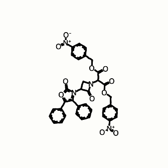 O=C(OCc1ccc([N+](=O)[O-])cc1)C(C(=O)OCc1ccc([N+](=O)[O-])cc1)N1CC(n2c(-c3ccccc3)c(-c3ccccc3)oc2=O)C1=O